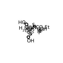 CCOC(=O)c1csc(NC(=O)/[N+](=C2/CCC[N+](C)(Cc3cccc(O)c3)C2)[C@@H](Cc2ccc(O)cc2)C(N)=O)n1.O=C(O)C(F)(F)F